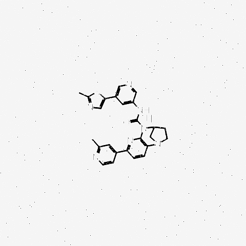 Cc1cc(-c2ccc3c(n2)N(C(=O)Nc2cncc(-c4cnc(C)s4)c2)[C@H]2CCN3C2)ccn1